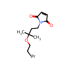 CC(C)CCOC(C)(C)CCN1C(=O)C=CC1=O